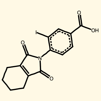 O=C(O)c1ccc(N2C(=O)C3=C(CCCC3)C2=O)c(I)c1